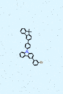 CC1(C)c2ccccc2-c2cc(-c3ccc(-n4c5ccccc5c5cc(-c6cccc(Br)c6)ccc54)cc3)ccc21